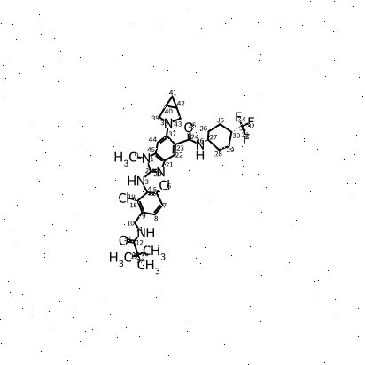 Cn1c(Nc2c(Cl)ccc(CNC(=O)C(C)(C)C)c2Cl)nc2cc(C(=O)N[C@H]3CC[C@@H](C(F)(F)F)CC3)c(N3CC4CC4C3)cc21